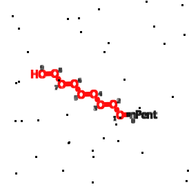 CCCCCOOOOOOOOO